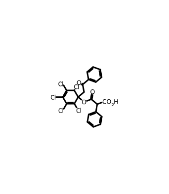 O=C(CC1(OC(=O)C(C(=O)O)c2ccccc2)C(Cl)=C(Cl)C(Cl)=C(Cl)C1Cl)c1ccccc1